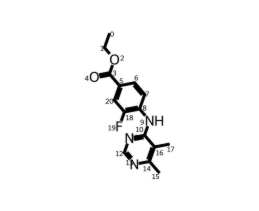 CCOC(=O)c1ccc(Nc2ncnc(C)c2C)c(F)c1